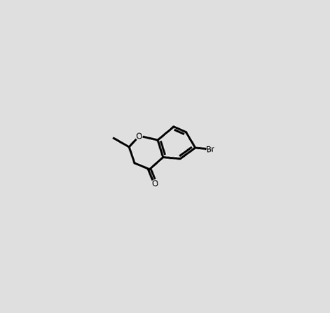 CC1CC(=O)c2cc(Br)ccc2O1